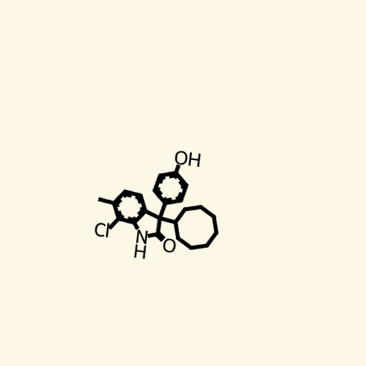 Cc1ccc2c(c1Cl)NC(=O)C2(c1ccc(O)cc1)C1CCCCCCC1